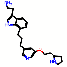 NCCc1c[nH]c2c(CCCc3cncc(OCC[C@@H]4CCCN4)c3)cccc12